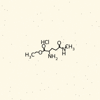 CCOC(=O)C(N)CCC(=O)NC.Cl